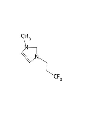 CN1C=CN(CCC(F)(F)F)C1